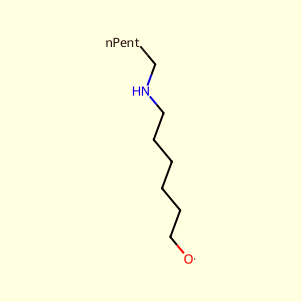 CCCCCCNCCCCCC[O]